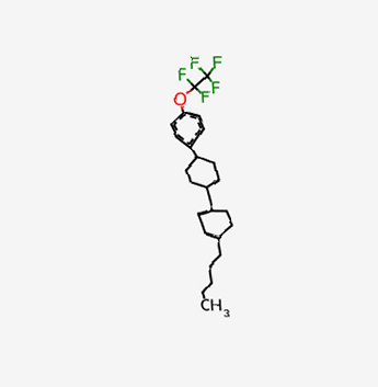 CCCCCC1CCC(C2CCC(c3ccc(OC(F)(F)C(F)(F)F)cc3)CC2)CC1